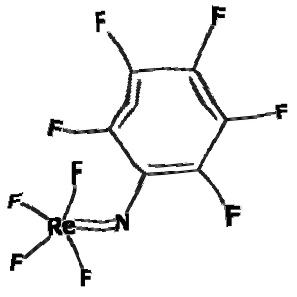 Fc1c(F)c(F)c([N]=[Re]([F])([F])([F])[F])c(F)c1F